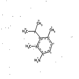 Cc1ccc(N)c(C)c1C(C)C